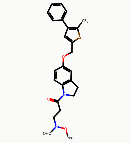 CC(C)(C)ON(C=O)CCC(=O)N1CCc2cc(OCc3cc(-c4ccccc4)c(C(F)(F)F)s3)ccc21